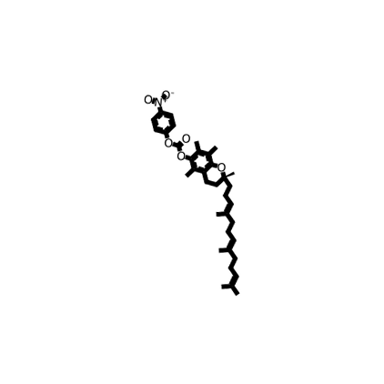 CC(C)=CCC/C(C)=C/CC/C(C)=C/CC[C@]1(C)CCc2c(C)c(OC(=O)Oc3ccc([N+](=O)[O-])cc3)c(C)c(C)c2O1